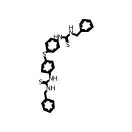 S=C(NCc1ccccc1)Nc1ccc(Sc2ccc(NC(=S)NCc3ccccc3)cc2)cc1